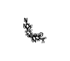 N#Cc1cc(F)c(N2CCN(Cc3cnc4cc(C5CC5)c(=O)[nH]c4c3)CC2)cn1